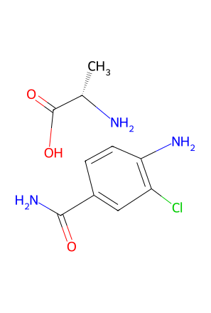 C[C@H](N)C(=O)O.NC(=O)c1ccc(N)c(Cl)c1